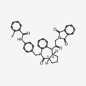 O=C(Nc1ccc(CN2C(=O)[C@H]3CCC[C@H]3N(C(=O)CN3C(=O)c4ccccc4C3=O)c3ccccc32)cc1)c1ccccc1F